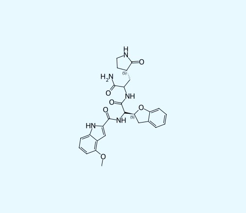 COc1cccc2[nH]c(C(=O)NC(C(=O)NC(C[C@@H]3CCNC3=O)C(N)=O)[C@@H]3Cc4ccccc4O3)cc12